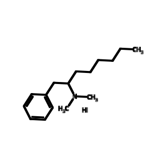 CCCCCCC(Cc1ccccc1)N(C)C.I